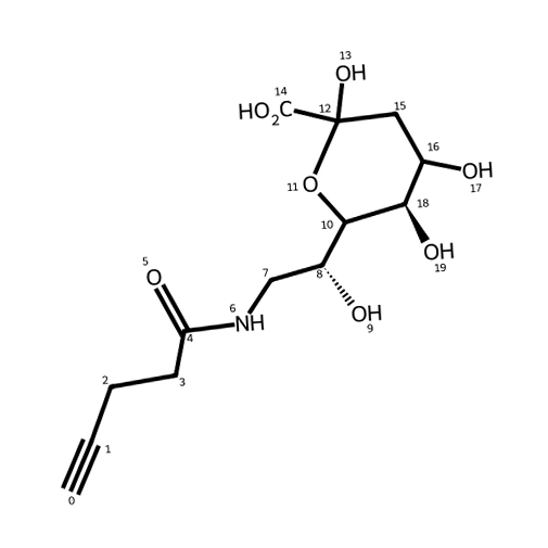 C#CCCC(=O)NC[C@@H](O)C1OC(O)(C(=O)O)CC(O)[C@H]1O